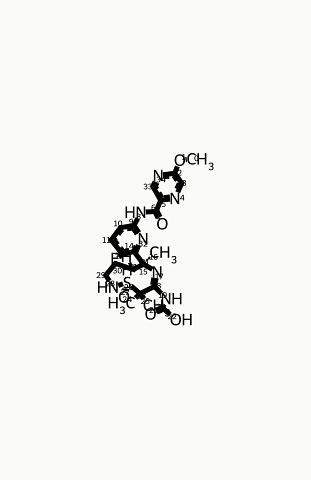 COc1cnc(C(=O)Nc2ccc(F)c([C@@]3(C)N=C(NC(=O)O)C(C)(C)[SH]4(=O)NCC[C@H]34)n2)cn1